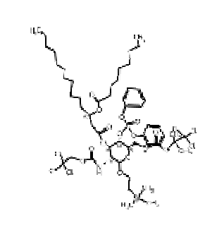 CCCCCCCCCCC[C@H](CC(=O)O[C@H]1[C@H](OP(=O)(Oc2ccccc2)Oc2ccccc2)[C@@H](COC(=O)OC(C)(C)C(Cl)(Cl)Cl)OC(OCC[Si](C)(C)C)[C@@H]1NC(=O)OCC(Cl)(Cl)Cl)OC(=O)CCCCCCCC